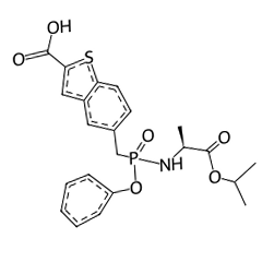 CC(C)OC(=O)[C@H](C)NP(=O)(Cc1ccc2sc(C(=O)O)cc2c1)Oc1ccccc1